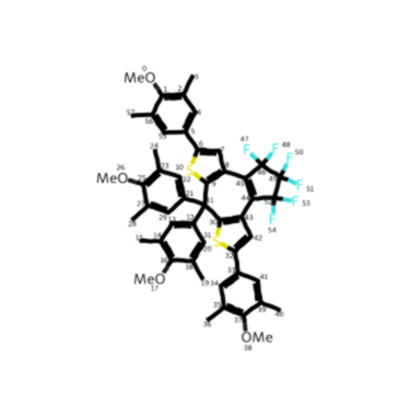 COc1c(C)cc(-c2cc3c(s2)C(c2cc(C)c(OC)c(C)c2)(c2cc(C)c(OC)c(C)c2)c2sc(-c4cc(C)c(OC)c(C)c4)cc2C2=C3C(F)(F)C(F)(F)C2(F)F)cc1C